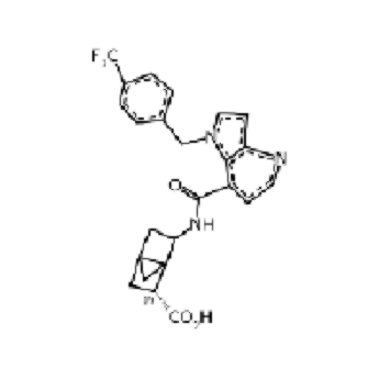 O=C(NC1CC23C[C@@H](C(=O)O)C12C3)c1ccnc2ccn(Cc3ccc(C(F)(F)F)cc3)c12